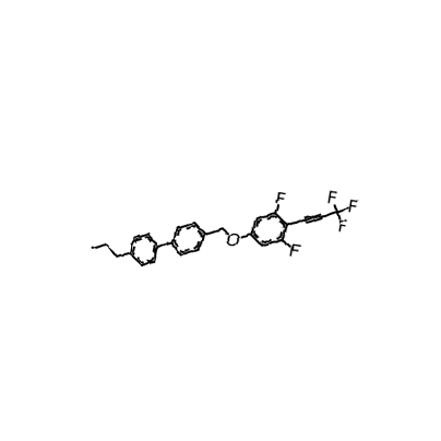 CCCc1ccc(-c2ccc(COc3cc(F)c(C#CC(F)(F)F)c(F)c3)cc2)cc1